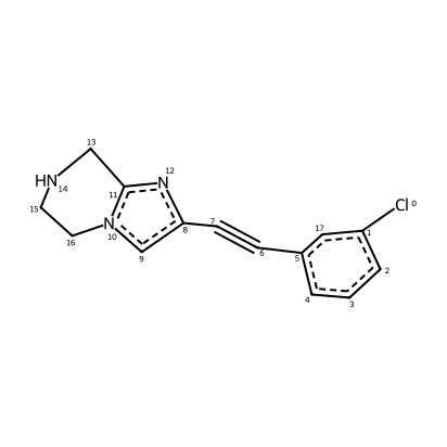 Clc1cccc(C#Cc2cn3c(n2)CNCC3)c1